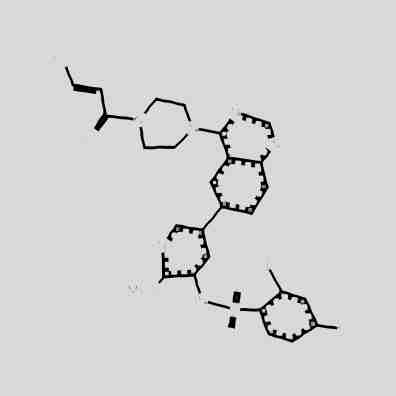 COc1ncc(-c2ccc3ncnc(N4CCN(C(=O)/C=C/C(C)=O)CC4)c3c2)cc1NS(=O)(=O)c1ccc(F)cc1Cl